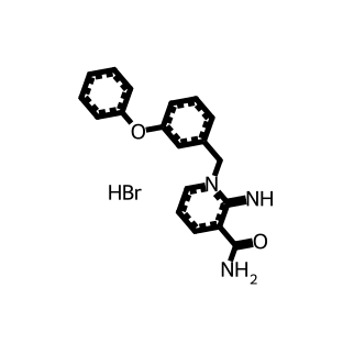 Br.N=c1c(C(N)=O)cccn1Cc1cccc(Oc2ccccc2)c1